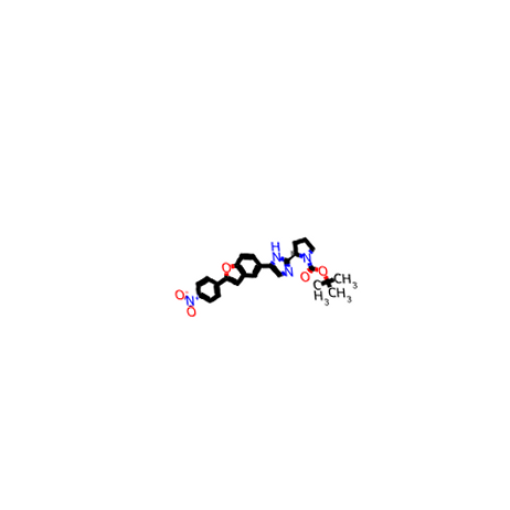 CC(C)(C)OC(=O)N1CCC[C@@H]1c1ncc(-c2ccc3oc(-c4ccc([N+](=O)[O-])cc4)cc3c2)[nH]1